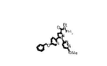 CCN(C)C(=O)c1cc(-c2ccc(OCc3ccccc3)cn2)n(-c2ccc(OC)nn2)n1